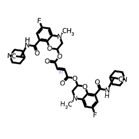 CN1CC(OC(=O)/C=C/C(=O)OC2CN(C)c3cc(F)cc(C(=O)NC4CN5CCC4CC5)c3O2)Oc2c(C(=O)NC3CN4CCC3CC4)cc(F)cc21